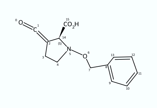 O=C=C1CCN(OCc2ccccc2)[C@@H]1C(=O)O